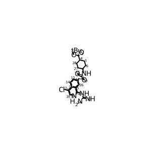 CC(C)(C)OC(=O)C1CCC(NS(=O)(=O)c2ccc3c(Cl)cnc(NC(=N)N)c3c2)CC1